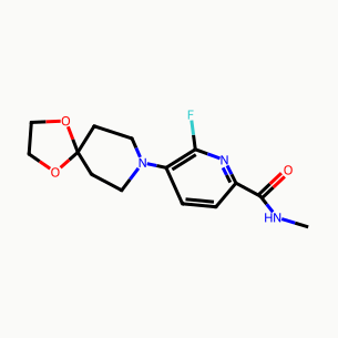 CNC(=O)c1ccc(N2CCC3(CC2)OCCO3)c(F)n1